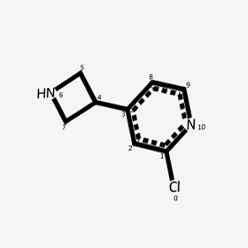 Clc1cc(C2CNC2)ccn1